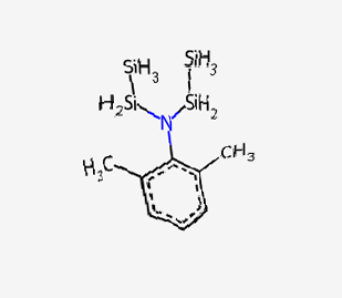 Cc1cccc(C)c1N([SiH2][SiH3])[SiH2][SiH3]